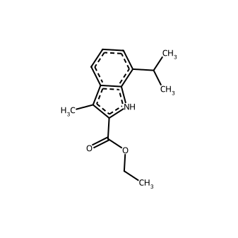 CCOC(=O)c1[nH]c2c(C(C)C)cccc2c1C